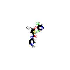 CC(C)N1CCC(NC(=O)c2cc([N+](=O)[O-])c(Oc3c(Cl)cncc3Cl)s2)CC1